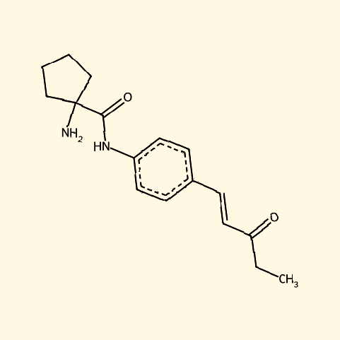 CCC(=O)C=Cc1ccc(NC(=O)C2(N)CCCC2)cc1